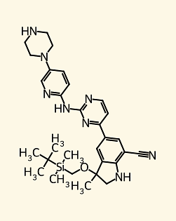 CC1(OC[Si](C)(C)C(C)(C)C)CNc2c(C#N)cc(-c3ccnc(Nc4ccc(N5CCNCC5)cn4)n3)cc21